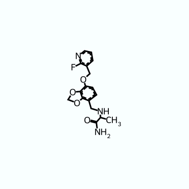 CC(NCc1ccc(OCc2cccnc2F)c2c1OCO2)C(N)=O